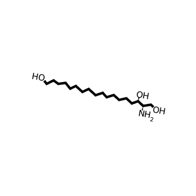 N[C@@H](CO)[C@@H](O)CCCCCCCCCCCCCCCO